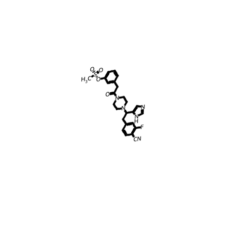 CS(=O)(=O)Oc1cccc(CC(=O)N2CCN(C(Cc3ccc(C#N)c(F)c3)c3cnc[nH]3)CC2)c1